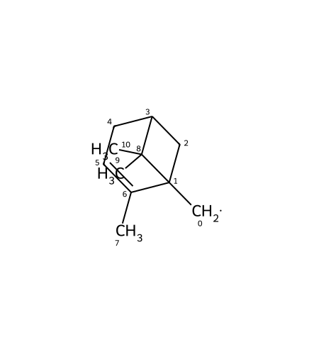 [CH2]C12CC(CC=C1C)C2(C)C